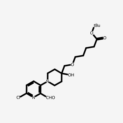 CC(C)(C)OC(=O)CCCCOCC1(O)CCN(c2ccc(Cl)nc2C=O)CC1